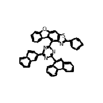 c1ccc(-c2nc3c(-c4nc(-c5ccc6ccccc6c5)nc(-c5cc6ccccc6c6ccccc56)n4)c4c(cc3s2)oc2ccccc24)cc1